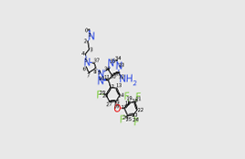 C=NCCCN1CC[C@@H](n2nc(-c3ccc(Oc4c(F)c(F)cc(F)c4F)cc3F)c3c(N)ncnc32)C1